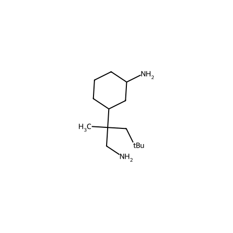 CC(C)(C)CC(C)(CN)C1CCCC(N)C1